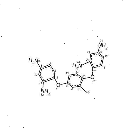 Cc1cc(Oc2ccc(N)cc2N)ccc1Oc1ccc(N)cc1N